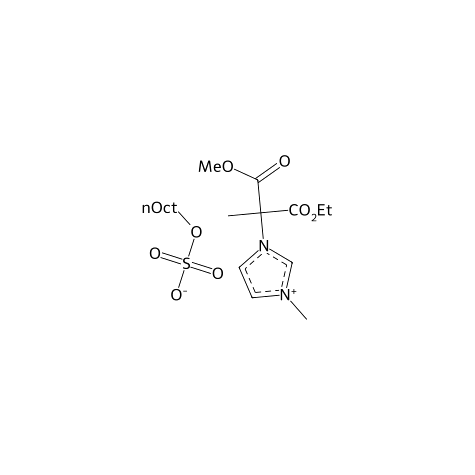 CCCCCCCCOS(=O)(=O)[O-].CCOC(=O)C(C)(C(=O)OC)n1cc[n+](C)c1